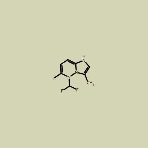 CC1=CNC2=CC=C(I)N(C(F)F)N12